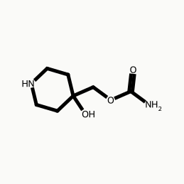 NC(=O)OCC1(O)CCNCC1